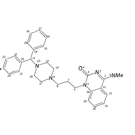 CNc1nc(=O)n(CCCN2CCN(C(c3ccccc3)c3ccccc3)CC2)c2ccccc12